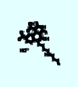 CCCCNCCCCOc1ccc([N+](=O)[O-])cc1C1C(C(=O)O)=C(C)NC(C)=C1C(=O)O.Cl